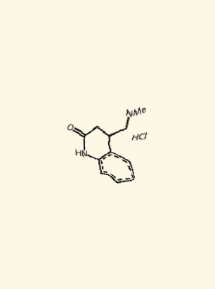 CNCC1CC(=O)Nc2ccccc21.Cl